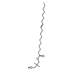 CCCCCCC/C=C/CCCCCCCCC(=O)OCC(C)(C)CO